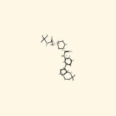 CC1(C)CCn2ncc(-c3ccnc(NC(=O)[C@H]4CCC[C@@H](NC(=O)OC(C)(C)C)C4)c3)c2C1